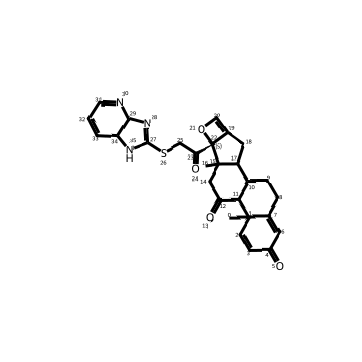 CC12C=CC(=O)C=C1CCC1C2C(=O)CC2(C)C1CC1=CO[C@]12C(=O)CSC1=NC2N=CC=CC2N1